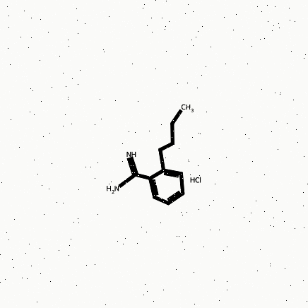 CCCCc1ccccc1C(=N)N.Cl